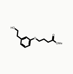 COC(=O)CCCOc1cccc(CCO)c1